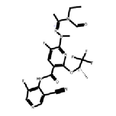 CCN(C=O)/C(C)=N\N(C)c1nc(O[C@@H](C)C(F)(F)F)c(C(=O)Nc2c(F)cncc2C#N)cc1F